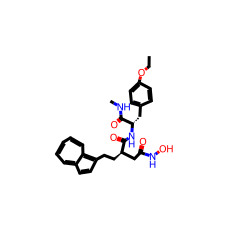 CCOc1ccc(C[C@H](NC(=O)[C@H](CCc2ccc3cccccc2-3)CC(=O)NO)C(=O)NC)cc1